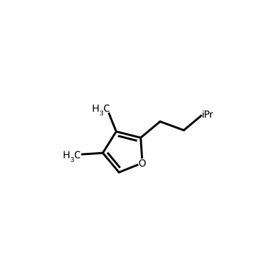 Cc1coc(CCC(C)C)c1C